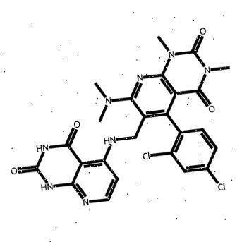 CN(C)c1nc2c(c(-c3ccc(Cl)cc3Cl)c1CNc1ccnc3[nH]c(=O)[nH]c(=O)c13)c(=O)n(C)c(=O)n2C